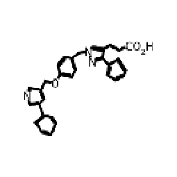 O=C(O)CCc1cn(Cc2ccc(OCc3cncc(-c4ccccc4)c3)cc2)nc1-c1ccccc1